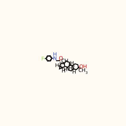 C[C@@]1(O)CC[C@H]2[C@H](CC[C@H]3C4[C@@H]5C[C@@H]5[C@H](C(=O)CNc5ccc(F)cc5)[C@@]4(C)CC[C@H]23)C1